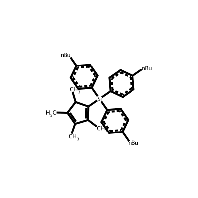 CCCCc1ccc([Si](C2=C(C)C(C)=C(C)C2C)(c2ccc(CCCC)cc2)c2ccc(CCCC)cc2)cc1